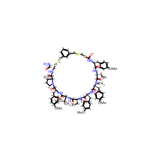 COc1ccc(C[C@@H]2NC(=O)CCSCc3cccc(c3)CSC[C@@H](C(N)=O)NC(=O)[C@]3(C)CCCN3C(=O)[C@H](Cc3ccc(OC)cc3)NC(=O)[C@H]([C@@H](C)OC)NC(=O)[C@H](CC(C)C)N(C)C(=O)[C@H](Cc3ccc(OC)cc3)NC(=O)[C@H](Cc3ccc(OC)cc3)N(C)C(=O)[C@@H](CC(C)C)NC2=O)cc1